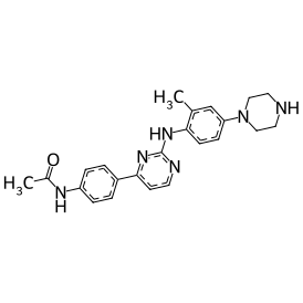 CC(=O)Nc1ccc(-c2ccnc(Nc3ccc(N4CCNCC4)cc3C)n2)cc1